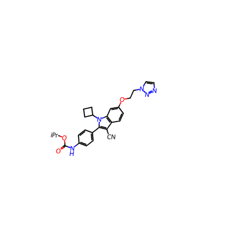 CC(C)OC(=O)Nc1ccc(-c2c(C#N)c3ccc(OCCn4ccnn4)cc3n2C2CCC2)cc1